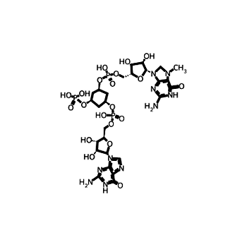 CN1CN([C@@H]2O[C@H](COP(=O)(O)O[C@@H]3C[C@H](OP(=O)(O)O)C[C@H](OP(=O)(O)OC[C@H]4O[C@@H](n5cnc6c(=O)[nH]c(N)nc65)[C@H](O)[C@@H]4O)C3)[C@@H](O)[C@H]2O)c2nc(N)[nH]c(=O)c21